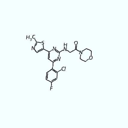 Cc1ncc(-c2cc(-c3ccc(F)cc3Cl)nc(NCC(=O)N3CCOCC3)n2)s1